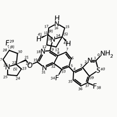 Nc1nc2c(-c3ccc4c(N5[C@@H]6CC[C@H]5CNC6)nc(OC[C@@]56CCCN5C[C@H](F)C6)nc4c3F)ccc(F)c2s1